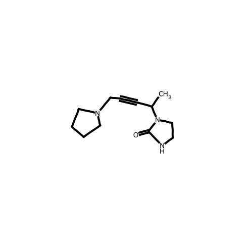 CC(C#CCN1CCCC1)N1CCNC1=O